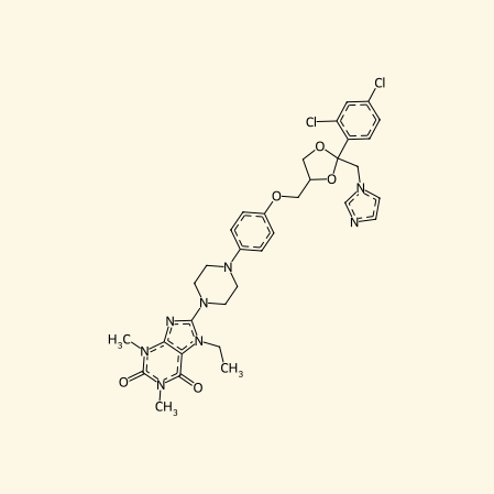 CCn1c(N2CCN(c3ccc(OCC4COC(Cn5ccnc5)(c5ccc(Cl)cc5Cl)O4)cc3)CC2)nc2c1c(=O)n(C)c(=O)n2C